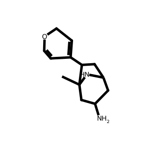 CC12CC(N)CC(CC1C1=CCOC=C1)N2